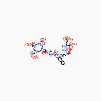 O=C[C@H](CCCCNC(=O)[C@H](Cc1ccc2ccccc2c1)NC(=O)[C@H]1CC[C@H](CNC(=O)CN2CCN(CC(=O)O)CCN(CC(=O)O)CCN(CC(=O)O)CC2)CC1)NC(=O)N[C@@H](CCC(=O)O)C(=O)O